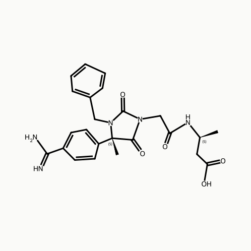 C[C@@H](CC(=O)O)NC(=O)CN1C(=O)N(Cc2ccccc2)[C@@](C)(c2ccc(C(=N)N)cc2)C1=O